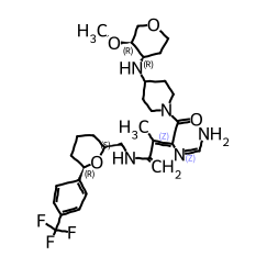 C=C(NC[C@@H]1CCC[C@H](c2ccc(C(F)(F)F)cc2)O1)/C(C)=C(\N=C/N)C(=O)N1CCC(N[C@@H]2CCOC[C@@H]2OC)CC1